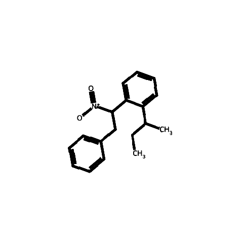 CCC(C)c1ccccc1[C](Cc1ccccc1)[N+](=O)[O-]